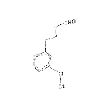 CCOc1cccc(CC=CC=O)c1